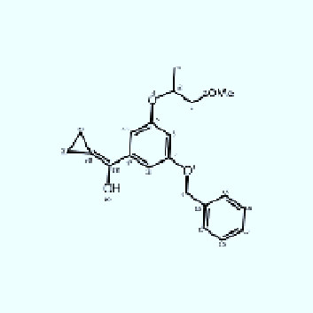 COCC(C)Oc1cc(OCc2ccccc2)cc(C(O)=C2CC2)c1